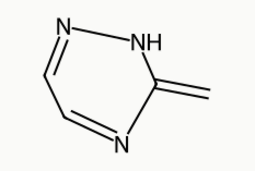 C=C1N=CC=NN1